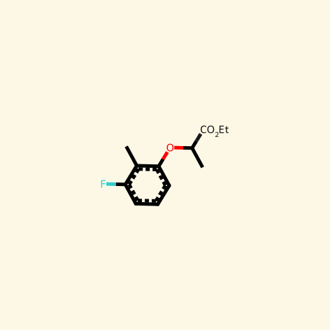 CCOC(=O)C(C)Oc1cccc(F)c1C